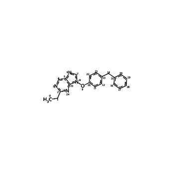 CCc1ncc2ncn(Oc3ccc(Cc4ccccc4)cc3)c2n1